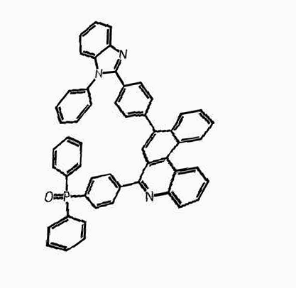 O=P(c1ccccc1)(c1ccccc1)c1ccc(-c2nc3ccccc3c3c2cc(-c2ccc(-c4nc5ccccc5n4-c4ccccc4)cc2)c2ccccc23)cc1